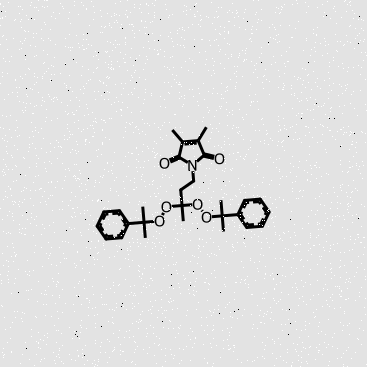 CC1=C(C)C(=O)N(CCC(C)(OOC(C)(C)c2ccccc2)OOC(C)(C)c2ccccc2)C1=O